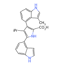 Cc1c[nH]c2cccc(-c3c(C(=O)O)[nH]c(-c4cccc5[nH]ccc45)c3C(C)C)c12